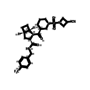 N#CC1CN(S(=O)(=O)N2CCC[C@H](C(=O)N3[C@@H]4CC[C@@H]4C[C@H]3C(=O)NCc3ccc(C(F)(F)F)cc3)C2)C1